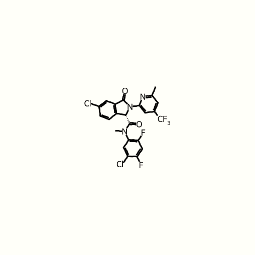 Cc1cc(C(F)(F)F)cc(N2C(=O)c3cc(Cl)ccc3[C@H]2C(=O)N(C)c2cc(Cl)c(F)cc2F)n1